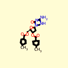 Cc1ccc(C(=O)OC[C@H]2O[C@@H](N3CNC(N)=NC3=O)CC2OC(=O)c2ccc(C)cc2)cc1